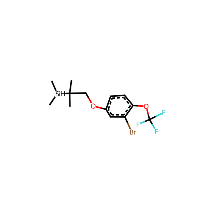 C[SiH](C)C(C)(C)COc1ccc(OC(F)(F)F)c(Br)c1